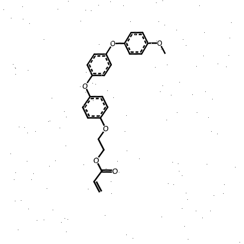 C=CC(=O)OCCOc1ccc(Oc2ccc(Oc3ccc(OC)cc3)cc2)cc1